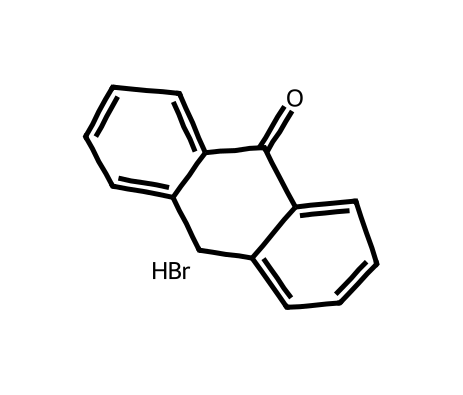 Br.O=C1c2ccccc2Cc2ccccc21